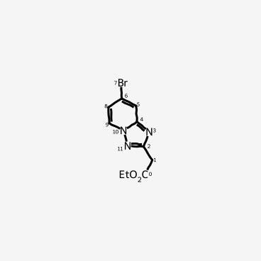 CCOC(=O)Cc1nc2cc(Br)ccn2n1